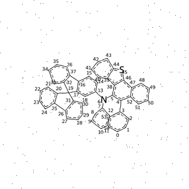 c1ccc(-c2c(N(c3ccccc3)c3ccc4c(c3)C3(c5ccccc5-c5ccccc53)c3ccccc3-4)c3c4ccccc4sc3c3ccccc23)cc1